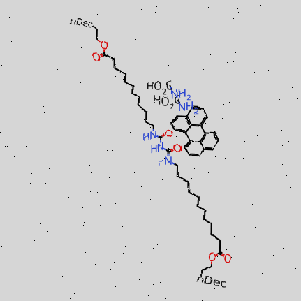 CCCCCCCCCCCCOC(=O)CCCCCCCCCCCNC(=O)NC(=O)NCCCCCCCCCCCC(=O)OCCCCCCCCCCCC.NC(=O)O.NC(=O)O.c1cc2cccc3c4cccc5cccc(c(c1)c23)c54